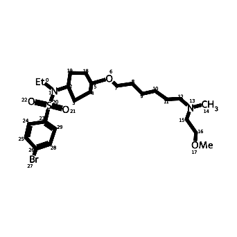 CCN(C1CCC(OCCCCCCN(C)CCOC)CC1)S(=O)(=O)c1ccc(Br)cc1